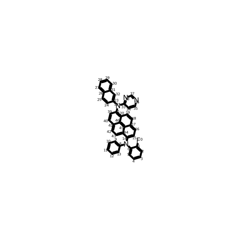 Fc1ccccc1N(c1ccccc1)c1ccc2ccc3c(N(c4ccc5ccccc5c4)c4ccncn4)ccc4ccc1c2c43